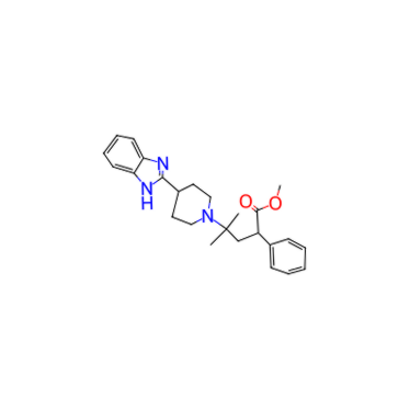 COC(=O)C(CC(C)(C)N1CCC(c2nc3ccccc3[nH]2)CC1)c1ccccc1